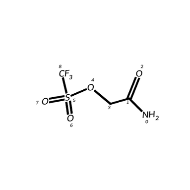 NC(=O)COS(=O)(=O)C(F)(F)F